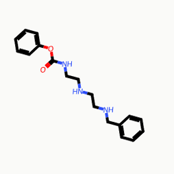 O=C(NCCNCCNCc1ccccc1)Oc1ccccc1